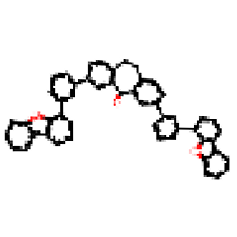 O=C1c2cc(-c3cccc(-c4cccc5c4oc4ccccc45)c3)ccc2CCc2ccc(-c3cccc(-c4cccc5c4oc4ccccc45)c3)cc21